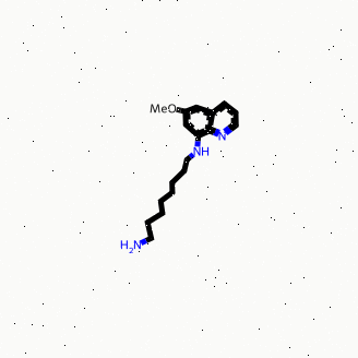 COc1cc(NCCCCCCCCN)c2ncccc2c1